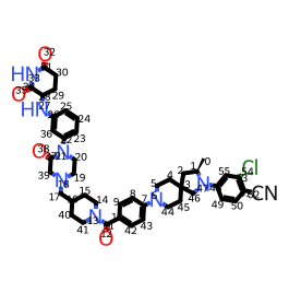 C[C@@H]1CC2(CCN(c3ccc(C(=O)N4CCC(CN5CCN(c6cccc(NC7CCC(=O)NC7=O)c6)C(=O)C5)CC4)cc3)CC2)CN1c1ccc(C#N)c(Cl)c1